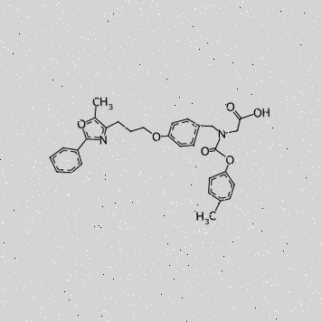 Cc1ccc(OC(=O)N(CC(=O)O)Cc2ccc(OCCCc3nc(-c4ccccc4)oc3C)cc2)cc1